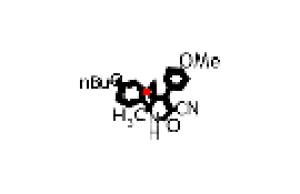 CCCCOc1ccc(C2(C)NC(=O)C(C#N)=C(c3ccc(OC)cc3)C23CC3)cc1